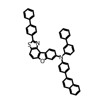 c1ccc(-c2ccc(-c3nc4c(ccc5oc6cc(N(c7ccc(-c8ccc9ccccc9c8)cc7)c7cccc(-c8ccccc8)c7)ccc6c54)s3)cc2)cc1